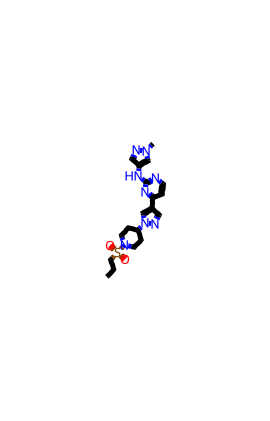 CCCS(=O)(=O)N1CCC(n2cc(-c3ccnc(Nc4cnn(C)c4)n3)cn2)CC1